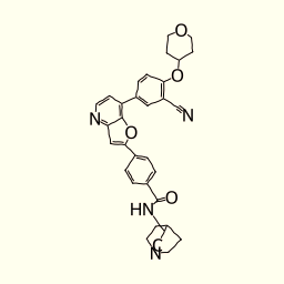 N#Cc1cc(-c2ccnc3cc(-c4ccc(C(=O)NC5CN6CCC5CC6)cc4)oc23)ccc1OC1CCOCC1